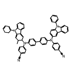 CC1C=c2c(c3ccccc3n2C2=CC=CCC2)=CC1N(c1ccc(C#N)cc1)c1ccc(-c2ccc(N(c3ccc(C#N)cc3)c3ccc4c(c3)c3ccccc3n4-c3ccccc3)cc2)cc1